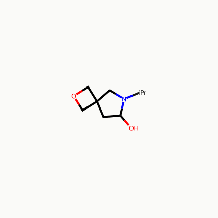 CC(C)N1CC2(COC2)CC1O